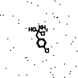 NC(O)(Cl)Cc1ccc(Cl)cc1